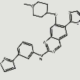 CN1CCC(Oc2cc3nc(Nc4cccc(-c5cc[nH]n5)c4)ncc3cc2-c2nccs2)CC1